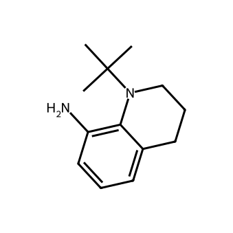 CC(C)(C)N1CCCc2cccc(N)c21